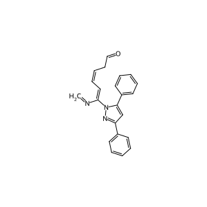 C=N/C(=C\C=C/CC=O)n1nc(-c2ccccc2)cc1-c1ccccc1